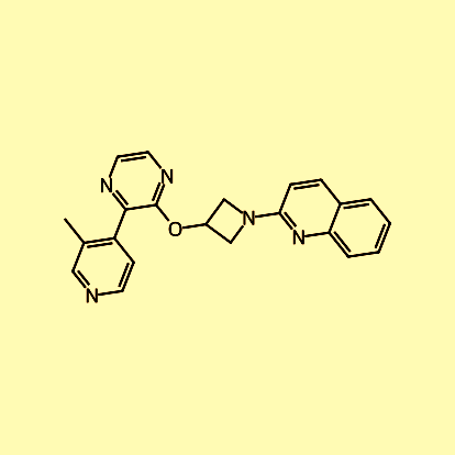 Cc1cnccc1-c1nccnc1OC1CN(c2ccc3ccccc3n2)C1